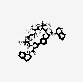 CNCC(=O)NC(C(=O)N1Cc2cc(C3C[C@@H](C(=O)N[C@@H]4CCCc5ccccc54)N(C(=O)C(NC(=O)CNC)C(C)(C)C)C3)ccc2C[C@H]1C(=O)NC1CCOc2ccccc21)C(C)(C)C